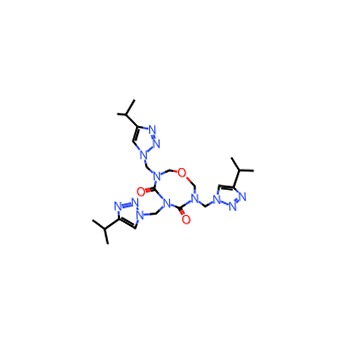 CC(C)c1cn(CN2COCN(Cn3cc(C(C)C)nn3)C(=O)N(Cn3cc(C(C)C)nn3)C2=O)nn1